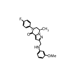 COc1cccc(NCc2cc3n(n2)[C@H](C)CN(c2ccc(F)cc2)C3=O)c1